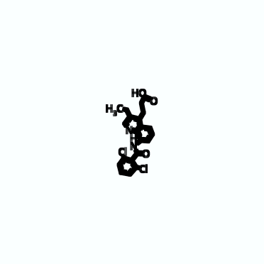 CCc1cnc2c(NC(=O)c3c(Cl)cccc3Cl)cccc2c1CCC(=O)O